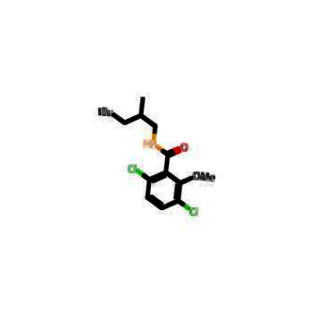 COc1c(Cl)ccc(Cl)c1C(=O)PCC(C)CC(C)(C)C